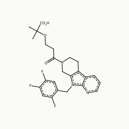 CC(C)(OCCC(=O)N1CCc2c(n(Cc3cc(F)c(F)cc3F)c3ncccc23)C1)C(=O)O